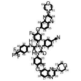 N#Cc1ccc(N(C(=O)Nc2ccc(Oc3ccc4ncc(N5CCOCC5)nc4c3)c(F)c2)N(C(=O)Nc2ccc(C(F)(F)F)cc2)c2ccc(Oc3ccc4ncc(N5CCOCC5)nc4c3)c(F)c2)cc1